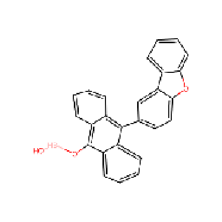 OBOc1c2ccccc2c(-c2ccc3oc4ccccc4c3c2)c2ccccc12